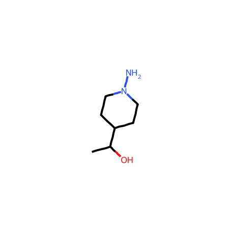 CC(O)C1CCN(N)CC1